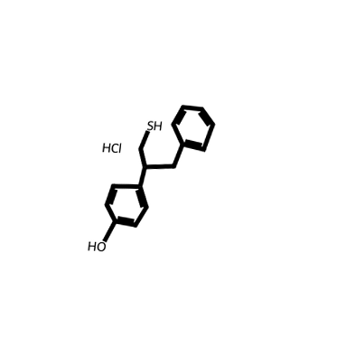 Cl.Oc1ccc(C(CS)Cc2ccccc2)cc1